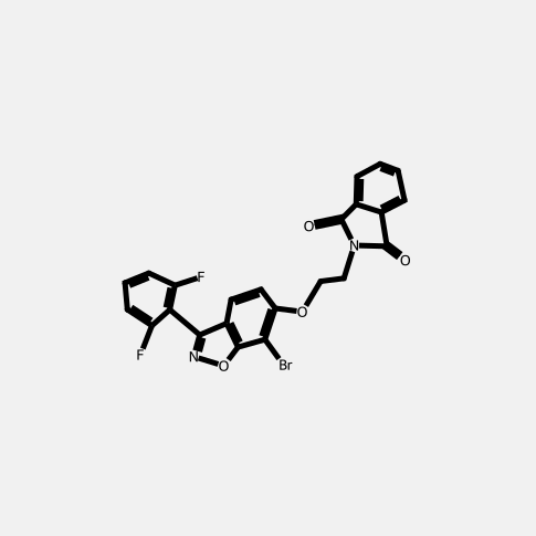 O=C1c2ccccc2C(=O)N1CCOc1ccc2c(-c3c(F)cccc3F)noc2c1Br